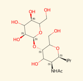 CC(=O)N[C@H]1C(O)[C@H](O[C@@H]2OC(CO)[C@H](O)C(O)[C@@H]2O)C(CO)O[C@H]1C(C)C